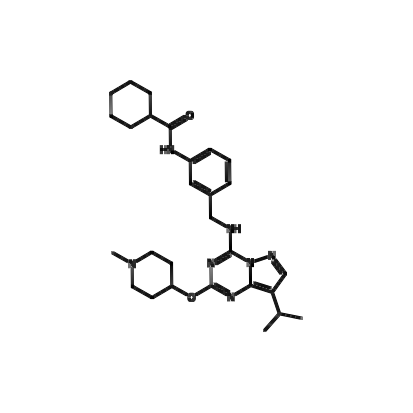 CC(C)c1cnn2c(NCc3cccc(NC(=O)C4CCCCC4)c3)nc(OC3CCN(C)CC3)nc12